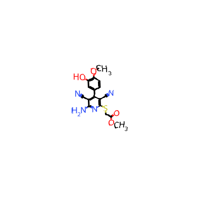 COC(=O)CSc1nc(N)c(C#N)c(-c2ccc(OC)c(O)c2)c1C#N